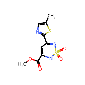 COC(=O)C1=CC(c2ncc(C)s2)=NS(=O)(=O)N1